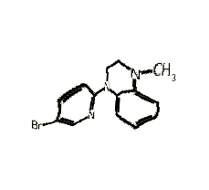 CN1CCN(c2ccc(Br)cn2)c2ccccc21